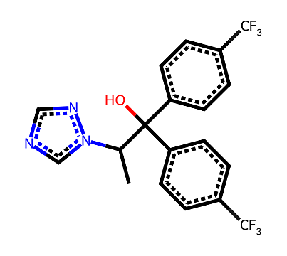 CC(n1cncn1)C(O)(c1ccc(C(F)(F)F)cc1)c1ccc(C(F)(F)F)cc1